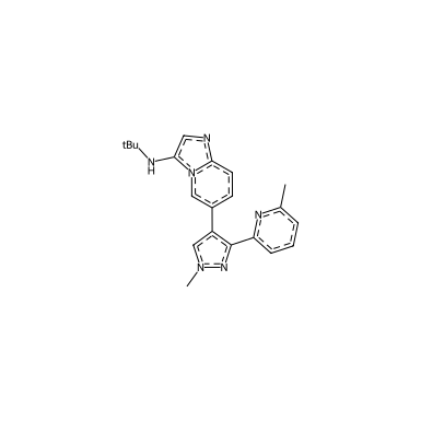 Cc1cccc(-c2nn(C)cc2-c2ccc3ncc(NC(C)(C)C)n3c2)n1